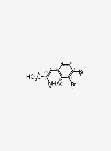 CC(=O)N/C(=C\c1ccc(Br)c(Br)c1)C(=O)O